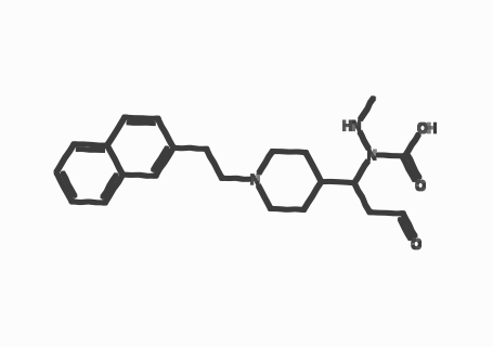 CNN(C(=O)O)C(CC=O)C1CCN(CCc2ccc3ccccc3c2)CC1